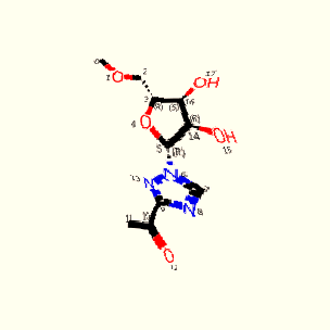 COC[C@H]1O[C@@H](n2cnc(C(C)=O)n2)[C@H](O)[C@@H]1O